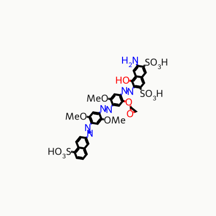 COc1cc(N=Nc2cc(OC3CO3)c(N=Nc3c(S(=O)(=O)O)cc4cc(S(=O)(=O)O)c(N)cc4c3O)cc2OC)c(OC)cc1N=Nc1ccc2c(S(=O)(=O)O)cccc2c1